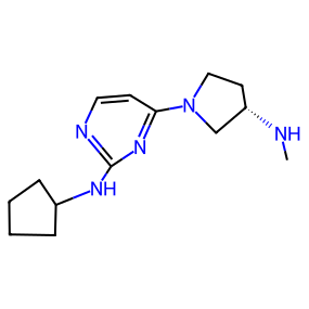 CN[C@H]1CCN(c2ccnc(NC3CCCC3)n2)C1